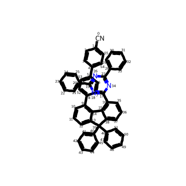 N#Cc1ccc(-c2ccc(-c3cccc4c3-c3c(-c5nc(-c6ccccc6)nc(-c6ccccc6)n5)cccc3C4(c3ccccc3)c3ccccc3)cc2)cc1